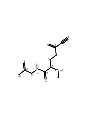 C#CC(=C)CCC(NC)C(=C)NCC(=C)C